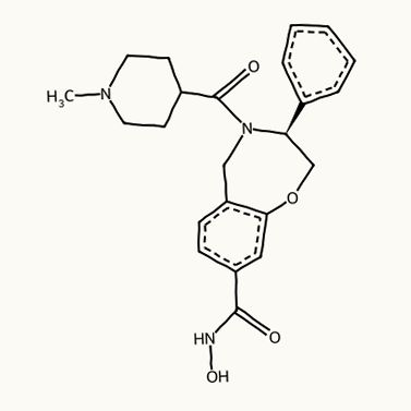 CN1CCC(C(=O)N2Cc3ccc(C(=O)NO)cc3OC[C@@H]2c2ccccc2)CC1